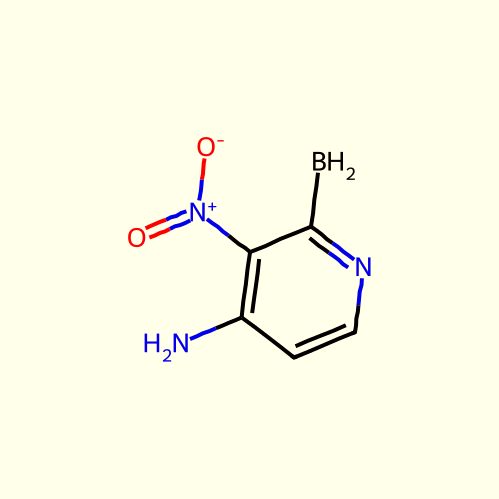 Bc1nccc(N)c1[N+](=O)[O-]